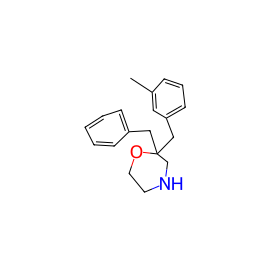 Cc1cccc(CC2(Cc3ccccc3)CNCCO2)c1